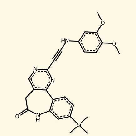 COc1ccc(NC#Cc2ncc3c(n2)-c2ccc([Si](C)(C)C)cc2NC(=O)C3)cc1OC